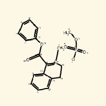 COS(=O)(=O)[O-].C[N+]1=C(C(=O)Oc2ccccc2)c2ccccc2CC1